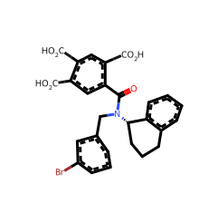 O=C(O)c1cc(C(=O)O)c(C(=O)N(Cc2cccc(Br)c2)[C@H]2CCCc3ccccc32)cc1C(=O)O